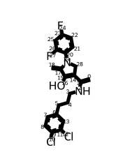 C=C(NCCCc1ccc(Cl)c(Cl)c1)C1=C(O)C(=C)N(c2ccc(F)cc2F)C1